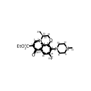 CCOC(=O)c1cn2c3c(c(N4CCN(C)CC4)c(F)cc3c1=O)OC[C@@H]2C